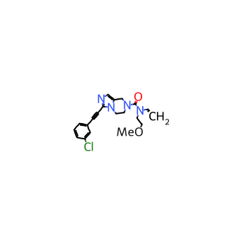 C=CN(CCOC)C(=O)N1CCn2c(cnc2C#Cc2cccc(Cl)c2)C1